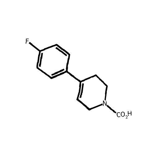 O=C(O)N1CC=C(c2ccc(F)cc2)CC1